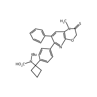 CN1C(=S)COc2nc(-c3ccc(C4(N(C(=O)O)C(C)(C)C)CCC4)cc3)c(-c3ccccc3)cc21